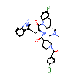 CN(C)C[C@H]1Cc2cc(Cl)ccc2N(C(=O)[C@@H](Cc2c[nH]c3ccccc23)NC(=O)C2CCN(C(=O)c3ccc(Cl)cc3)CC2)C1